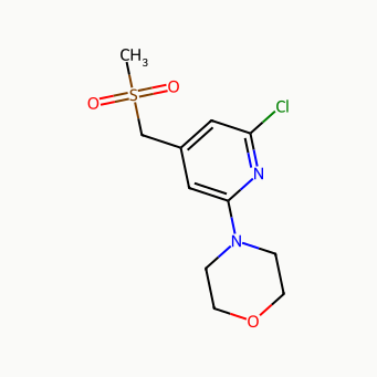 CS(=O)(=O)Cc1cc(Cl)nc(N2CCOCC2)c1